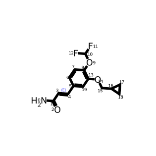 NC(=O)/C=C/c1ccc(OC(F)F)c(OCC2CC2)c1